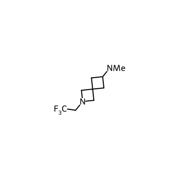 CNC1CC2(C1)CN(CC(F)(F)F)C2